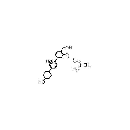 C=C(C)OOCCOc1cc(C(C)/C=C\C(=C/C)C2CCC(O)CC2)ccc1CO